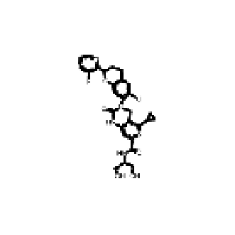 O=C(NC(CO)CO)c1cc2c(c(C3CC3)n1)CN(c1cc3c(cc1Cl)CCC(c1ncccc1F)O3)C(=O)N2